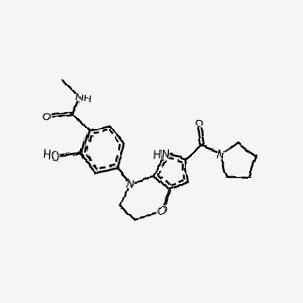 CNC(=O)c1ccc(N2CCOc3cc(C(=O)N4CCCC4)[nH]c32)cc1O